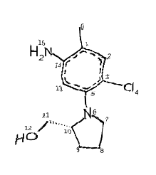 Cc1cc(Cl)c(N2CCC[C@@H]2CO)cc1N